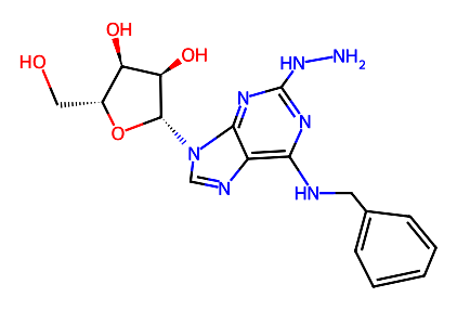 NNc1nc(NCc2ccccc2)c2ncn([C@@H]3O[C@H](CO)[C@@H](O)[C@H]3O)c2n1